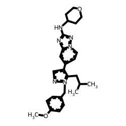 COc1ccc(Cn2ncc(-c3ccn4nc(NC5CCOCC5)nc4c3)c2CC(C)C)cc1